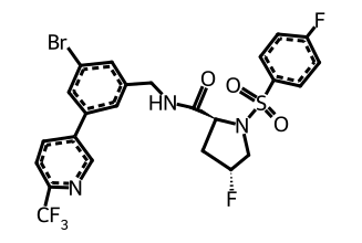 O=C(NCc1cc(Br)cc(-c2ccc(C(F)(F)F)nc2)c1)[C@@H]1C[C@@H](F)CN1S(=O)(=O)c1ccc(F)cc1